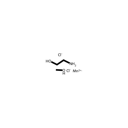 CO.NCCO.[Cl-].[Cl-].[Mn+2]